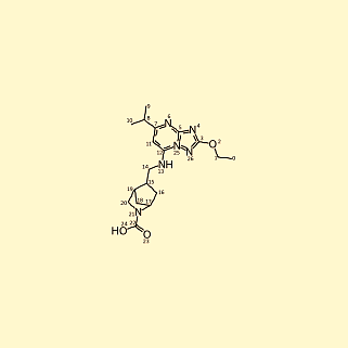 CCOc1nc2nc(C(C)C)cc(NCC3CC4CC3CN4C(=O)O)n2n1